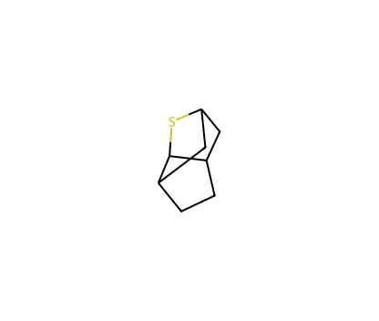 C1CC2CC3CC1C2S3